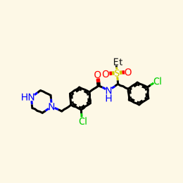 CCS(=O)(=O)C(NC(=O)c1ccc(CN2CCNCC2)c(Cl)c1)c1cccc(Cl)c1